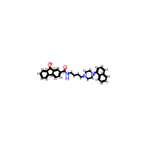 O=C(NCCCCN1CCN(c2cccc3ccccc23)CC1)c1ccc2c(c1)C(=O)c1ccccc1-2